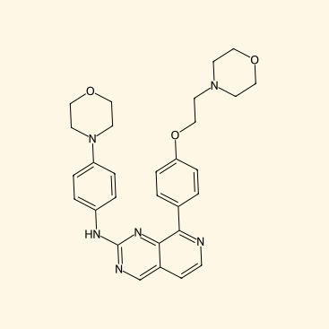 c1cc2cnc(Nc3ccc(N4CCOCC4)cc3)nc2c(-c2ccc(OCCN3CCOCC3)cc2)n1